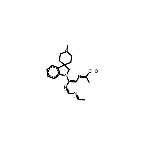 C/C=N/C=N\C(=C\N=C(/C)C=O)N1CC2(CCN(C)CC2)c2ccccc21